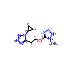 CC(C)(C)n1nnnc1OCCc1nnnn1C1CC1